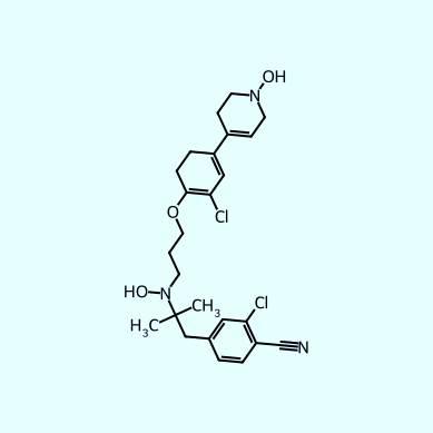 CC(C)(Cc1ccc(C#N)c(Cl)c1)N(O)CCCOC1=C(Cl)C=C(C2=CCN(O)CC2)CC1